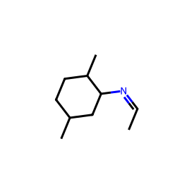 C/C=N\C1CC(C)CCC1C